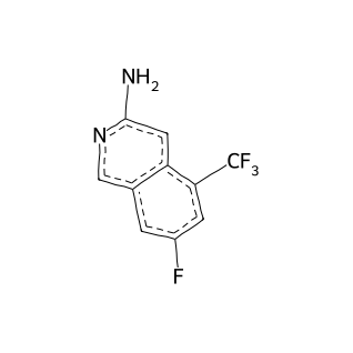 Nc1cc2c(C(F)(F)F)cc(F)cc2cn1